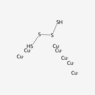 SSSS.[Cu].[Cu].[Cu].[Cu].[Cu].[Cu].[Cu]